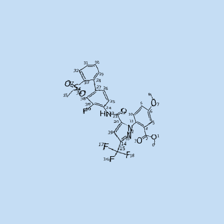 COC(=O)c1cc(OC)ccc1-n1nc(C(F)(F)F)cc1C(=O)Nc1ccc(-c2ccccc2S(C)(=O)=O)cc1F